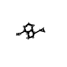 Oc1ncnc2c(C3CC3)csc12